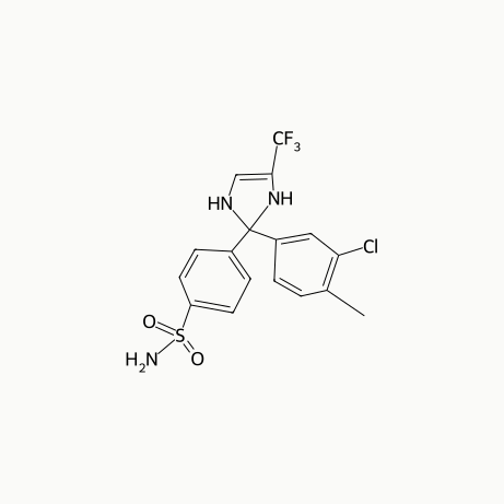 Cc1ccc(C2(c3ccc(S(N)(=O)=O)cc3)NC=C(C(F)(F)F)N2)cc1Cl